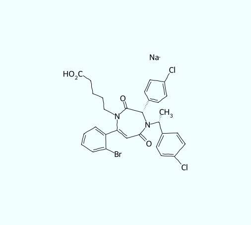 C[C@H](c1ccc(Cl)cc1)N1C(=O)C=C(c2ccccc2Br)N(CCCCC(=O)O)C(=O)[C@@H]1c1ccc(Cl)cc1.[Na]